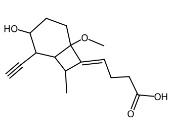 C#CC1C(O)CCC2(OC)C(=CCCC(=O)O)C(C)C12